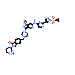 CC(C)n1nc(N2CCN(Cc3ccc4c(c3)CN(C3CCCNC3)C4=O)CC2)c2cnc(Nc3ccnc(-c4cnn(S(=O)(=O)C5CC5)c4)n3)cc21